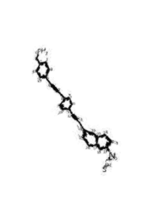 PCc1ccc(C#Cc2ccc(C#Cc3ccc4cc(N=C=S)ccc4c3)cc2)cc1